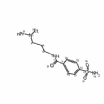 CCCN(CC)CCCNC(=O)c1ccc(S(N)(=O)=O)cc1